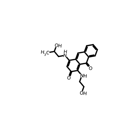 CC(O)CNC1=CC(=O)C(NCCO)=C2C(=O)c3ccccc3C=C12